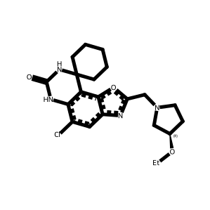 CCO[C@@H]1CCN(Cc2nc3cc(Cl)c4c(c3o2)C2(CCCCC2)NC(=O)N4)C1